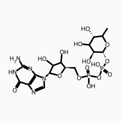 CC1O[C@H](OP(=O)(O)OP(=O)(O)OC[C@H]2O[C@@H](n3cnc4c(=O)[nH]c(N)nc43)C(O)C2O)[C@@H](O)C(O)[C@@H]1O